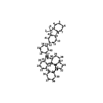 CC1(C)c2ccccc2-c2ccc(-c3cccc(-n4c5ccccc5c5c6c(ccc54)ccn6-c4ccccc4)c3)cc21